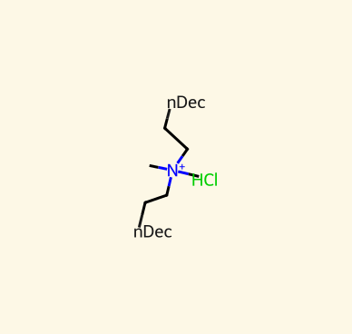 CCCCCCCCCCCC[N+](C)(C)CCCCCCCCCCCC.Cl